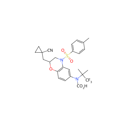 Cc1ccc(S(=O)(=O)N2CC(CC3(C#N)CC3)Oc3ccc(N(C(=O)O)C(C)(C)C(F)(F)F)cc32)cc1